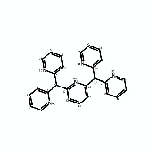 c1ccc(C(c2ccccn2)c2cccc(C(c3ccccn3)c3ccccn3)n2)nc1